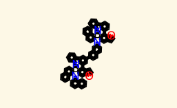 c1ccc2c(N3c4cc5occc5c5c4B(c4ccc6ccccc6c43)n3c4ccccc4c4cc(-c6ccc7ccc(N8c9cc%10ccoc%10c%10c9B(c9c8ccc8ccccc98)n8c9ccccc9c9cccc-%10c98)cc7c6)cc-5c43)cccc2c1